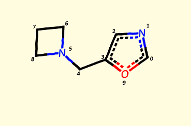 c1ncc(CN2CCC2)o1